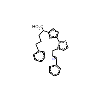 O=C(O)C(CCCc1ccccc1)c1csc(-c2nccn2C/C=C/c2ccccc2)n1